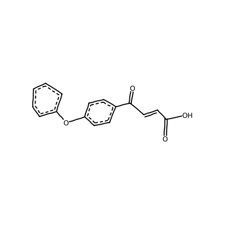 O=C(O)C=CC(=O)c1ccc(Oc2ccccc2)cc1